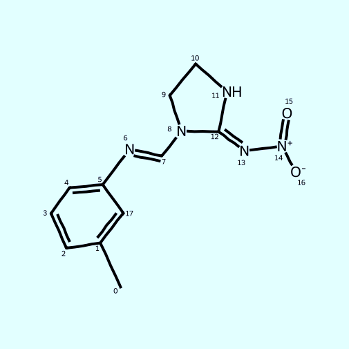 Cc1cccc(N=CN2CCNC2=N[N+](=O)[O-])c1